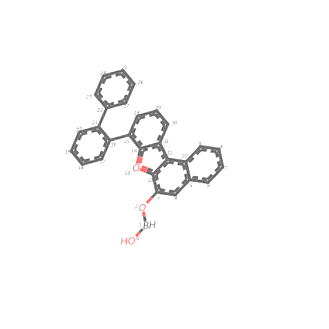 OBOc1cc2ccccc2c2c1oc1c(-c3ccccc3-c3ccccc3)cccc12